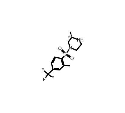 Cc1cc(C(F)(F)F)ccc1S(=O)(=O)N1CCN[C@H](C)C1